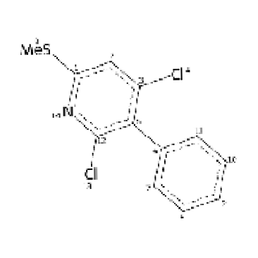 CSc1cc(Cl)c(-c2ccccc2)c(Cl)n1